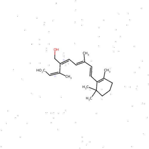 CC(C=CC1=C(C)CCCC1(C)C)=C/C=C(CO)\C(C)=C/C(=O)O